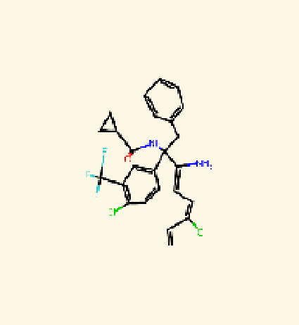 C=C/C(Cl)=C\C=C(/N)C(Cc1ccccc1)(NC(=O)C1CC1)c1ccc(Cl)c(C(F)(F)F)c1